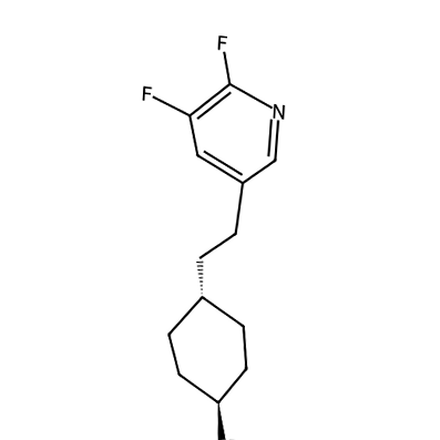 CCCC[C@H]1CC[C@H](CCc2cnc(F)c(F)c2)CC1